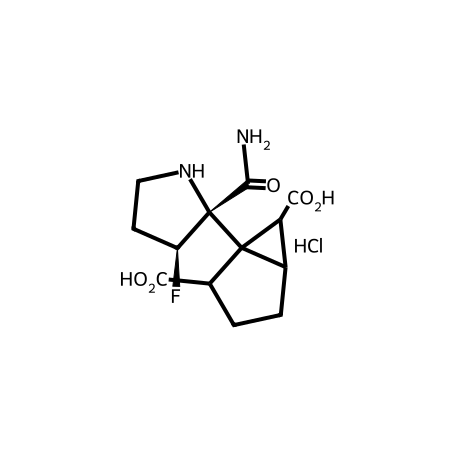 Cl.NC(=O)[C@]1(C23C(C(=O)O)CCC2C3C(=O)O)NCC[C@@H]1F